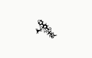 Cc1nc(C(C)(C)NC(=O)c2ccc(C3CCOCC3)c(OCC3CC3)n2)no1